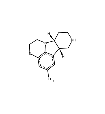 Cc1cc2c3c(c1)[C@H]1CNCC[C@H]1N3CCS2